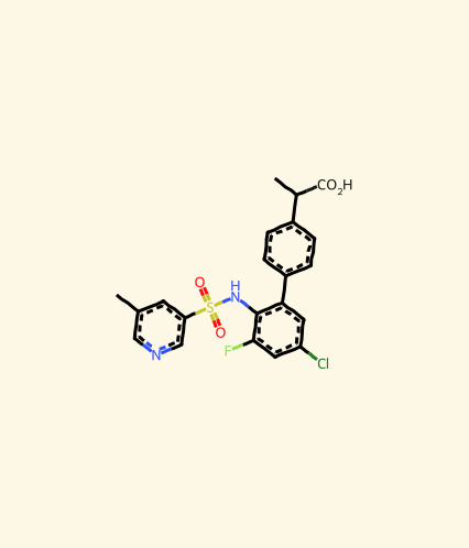 Cc1cncc(S(=O)(=O)Nc2c(F)cc(Cl)cc2-c2ccc(C(C)C(=O)O)cc2)c1